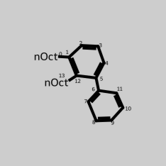 CCCCCCCCc1cccc(-c2ccccc2)c1CCCCCCCC